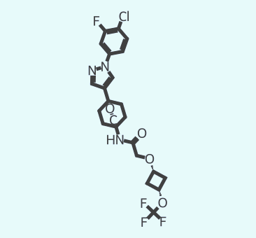 O=C(CO[C@H]1C[C@@H](OC(F)(F)F)C1)NC12CCC(c3cnn(-c4ccc(Cl)c(F)c4)c3)(CC1)OC2